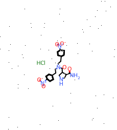 Cl.NC(=O)C1CNCC1C(=O)N(CCc1ccc([N+](=O)[O-])cc1)CCc1ccc([N+](=O)[O-])cc1